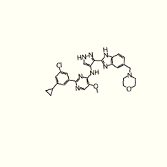 COc1cnc(-c2cc(Cl)cc(C3CC3)c2)nc1Nc1c[nH]nc1-c1nc2cc(CN3CCOCC3)ccc2[nH]1